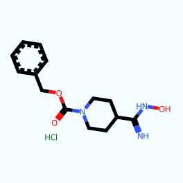 Cl.N=C(NO)C1CCN(C(=O)OCc2ccccc2)CC1